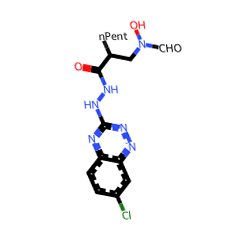 CCCCCC(CN(O)C=O)C(=O)NNc1nnc2cc(Cl)ccc2n1